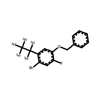 [2H]C([2H])([2H])C([2H])([2H])c1cc(OCc2ccccc2)c(F)cc1Br